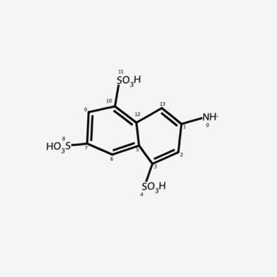 [NH]c1cc(S(=O)(=O)O)c2cc(S(=O)(=O)O)cc(S(=O)(=O)O)c2c1